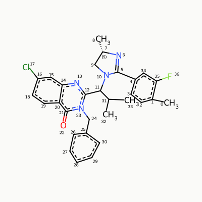 Cc1ccc(C2=N[C@@H](C)CN2C(c2nc3cc(Cl)ccc3c(=O)n2Cc2ccccc2)C(C)C)cc1F